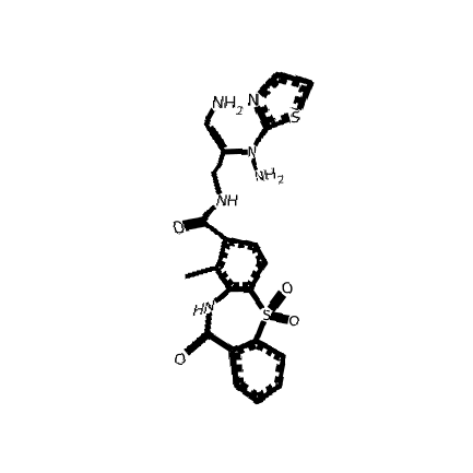 Cc1c(C(=O)NC/C(=C/N)N(N)c2nccs2)ccc2c1NC(=O)c1ccccc1S2(=O)=O